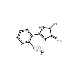 CC1NC(c2ccccc2C(=O)[O-])=NC1=O.[Na+]